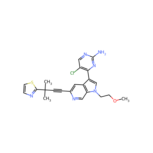 COCCn1cc(-c2nc(N)ncc2Cl)c2cc(C#CC(C)(C)c3nccs3)ncc21